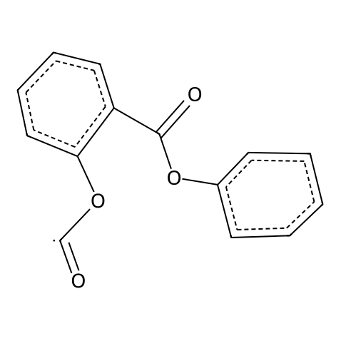 O=[C]Oc1ccccc1C(=O)Oc1ccccc1